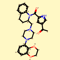 CC(=O)c1c[nH]c(C(=O)N2c3ccccc3CCC2CN2CCN(c3cccc4c3OCCO4)CC2)c1